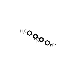 CCC[C@H]1CC[C@H](c2ccc(-c3ccc([C@H]4CC[C@H](C)CC4)cn3)c(F)c2)CC1